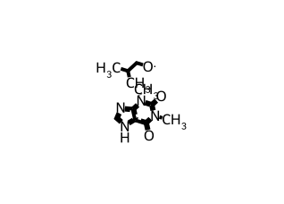 CC(C)C[O].Cn1c(=O)c2[nH]cnc2n(C)c1=O